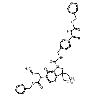 C=CCN(C(=O)OCc1ccccc1)c1cnc2n(c1=O)[C@H](C(=O)NCc1ccc(C(=N)NC(=O)OCc3ccccc3)cc1)CC2(CC)CC